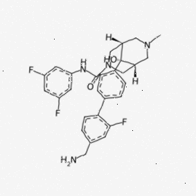 CN1C[C@@H]2CN(C(=O)Nc3cc(F)cc(F)c3)C[C@H](C1)[C@]2(O)c1ccc(-c2ccc(CN)cc2F)cc1